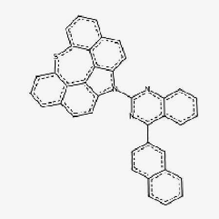 c1ccc2cc(-c3nc(-n4c5ccc6cccc7sc8cccc9ccc4c(c98)c5c67)nc4ccccc34)ccc2c1